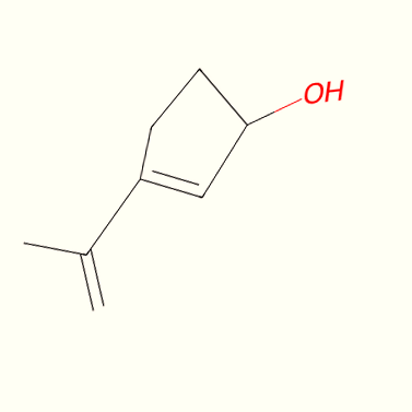 C=C(C)C1=CC(O)CC1